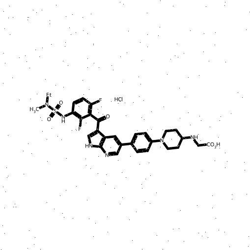 CCN(C)S(=O)(=O)Nc1ccc(F)c(C(=O)c2c[nH]c3ncc(-c4ccc(N5CCC(NCC(=O)O)CC5)cc4)cc23)c1F.Cl